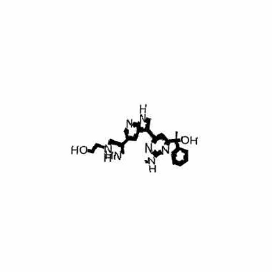 CNc1nc(-c2c[nH]c3ncc(/C(C=N)=C/NCCO)cc23)cc([C@](C)(O)c2ccccc2)n1